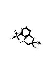 CC1(C)CNc2c(cccc2S(=O)(=O)Cl)C1